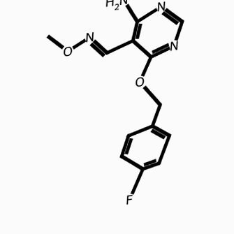 CON=Cc1c(N)ncnc1OCc1ccc(F)cc1